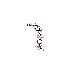 CS(=O)(=O)c1ccc(S(=O)(=O)CCC2(F)CCN(C(=O)O)CC2)cc1